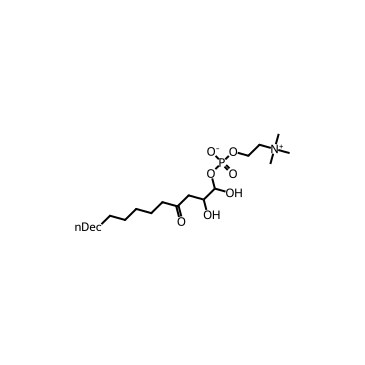 CCCCCCCCCCCCCCCC(=O)CC(O)C(O)OP(=O)([O-])OCC[N+](C)(C)C